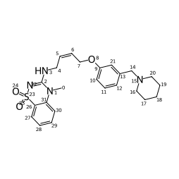 CN1C(NC/C=C\COc2cccc(CN3CCCCC3)c2)=NS(=O)(=O)c2ccccc21